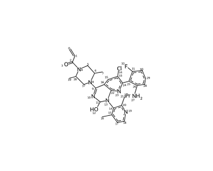 C=CC(=O)N1CC(C)N(C2=NC(O)N(c3c(C)ccnc3C(C)C)c3nc(-c4c(N)cccc4F)c(Cl)cc32)CC1C